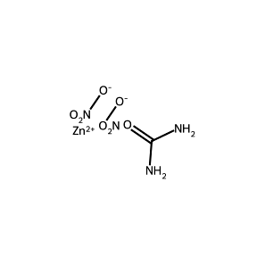 NC(N)=O.O=[N+]([O-])[O-].O=[N+]([O-])[O-].[Zn+2]